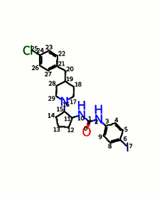 O=C(Nc1ccc(I)cc1)NC1CCCC1N1CCC(Cc2ccc(Cl)cc2)CC1